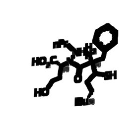 CCCNN(C(=O)[C@](N)(Cc1ccccc1)C(S)CC[C@@H](C)CC)[C@H](CCO)C(=O)O